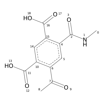 CNC(=O)c1cc(C(C)=O)c(C(=O)O)cc1C(=O)O